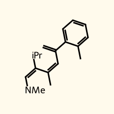 C=C(/C=C(C)\C(=C/NC)C(C)C)c1ccccc1C